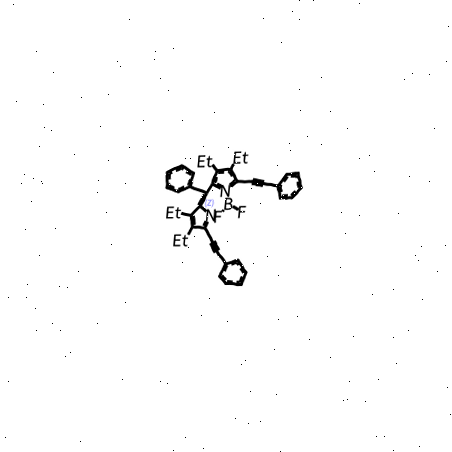 CCC1=C(CC)/C(=C(\c2ccccc2)c2c(CC)c(CC)c(C#Cc3ccccc3)n2B(F)F)N=C1C#Cc1ccccc1